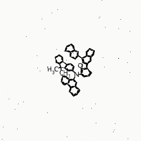 CC1(C)c2ccccc2-c2ccc(N(c3cc4ccccc4c4ccccc34)c3cccc4c3oc3c(-c5ccc6ccccc6c5)c5ccccc5cc34)cc21